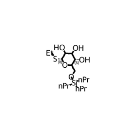 CCC[Si](CCC)(CCC)OCC1O[C@H](SCC)C(O)C(O)[C@@H]1O